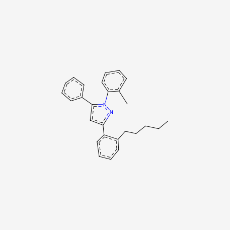 CCCCCc1ccccc1-c1cc(-c2ccccc2)n(-c2ccccc2C)n1